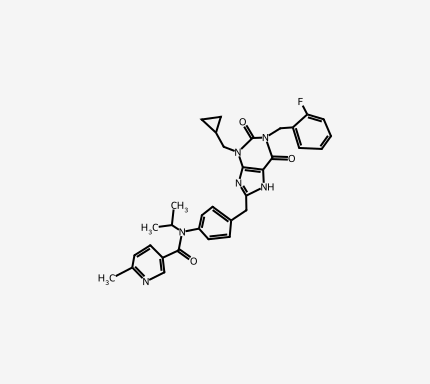 Cc1ccc(C(=O)N(c2ccc(Cc3nc4c([nH]3)c(=O)n(Cc3ccccc3F)c(=O)n4CC3CC3)cc2)C(C)C)cn1